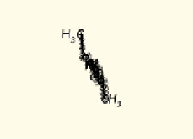 CCCCCCCCC[C@H]1CC[C@H](c2cnc(-c3ccc(OC(=O)C4CCC(CCCCCCC)CC4)cc3)nc2)CC1